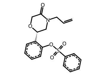 C=CCN1C[C@H](c2ccccc2OS(=O)(=O)c2ccccc2)OCC1=O